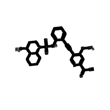 COc1cc(C(=O)O)ncc1C#Cc1ccccc1NS(=O)(=O)N1CCC(C)C2CCCCC21